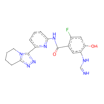 N=CNc1cc(C(=O)Nc2cccc(-c3nnc4n3CCCC4)n2)c(F)cc1O